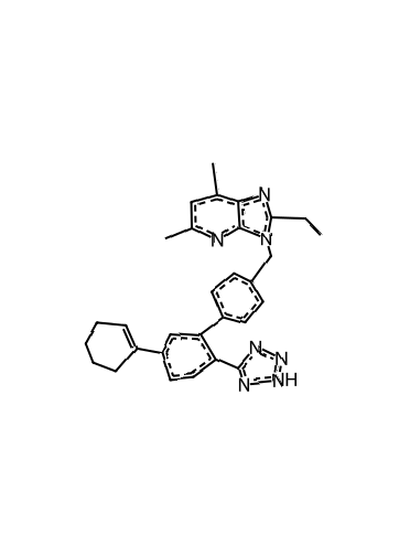 CCc1nc2c(C)cc(C)nc2n1Cc1ccc(-c2cc(C3=CCCCC3)ccc2-c2nn[nH]n2)cc1